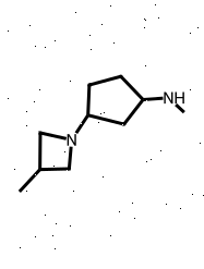 CNC1CCC(N2CC(C)C2)C1